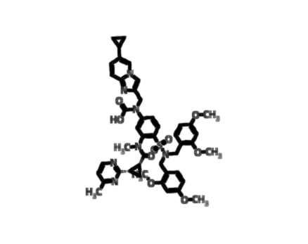 COc1ccc(CN(Cc2ccc(OC)cc2OC)S(=O)(=O)c2ccc(N(Cc3cn4cc(C5CC5)ccc4n3)C(=O)O)cc2N(C)C(=O)[C@H]2C[C@@H]2c2nccc(C)n2)c(OC)c1